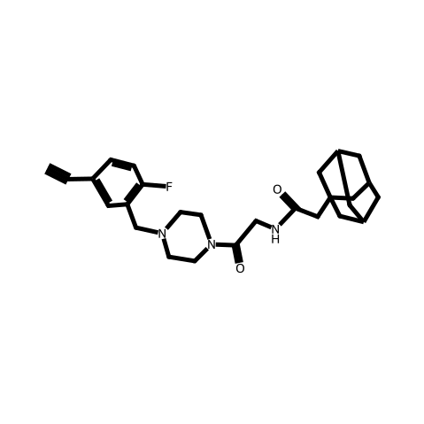 C#Cc1ccc(F)c(CN2CCN(C(=O)CNC(=O)CC34CC5CC(CC(C5)C3)C4)CC2)c1